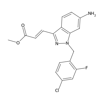 COC(=O)C=Cc1nn(Cc2ccc(Cl)cc2F)c2cc(N)ccc12